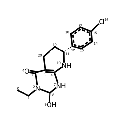 CCN1C(=O)C2=C(NC1O)N[C@@H](c1ccc(Cl)cc1)CC2